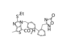 CCSc1nc2c(C)sc(C(=O)O)c2n1Cc1ccc(-c2ccccc2Cc2nc(=O)o[nH]2)cc1